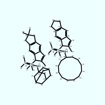 CC1=Cc2cc3c(cc2[CH]1[Ti]([CH3])([CH3])([NH]C12CC4CC(CC(C4)C1)C2)=[Si](C)C)CC(C)(C)C3.CC1=Cc2cc3c(cc2[CH]1[Ti]([CH3])([CH3])([NH]C1CCCCCCCCCCC1)=[Si](C)C)CCC3